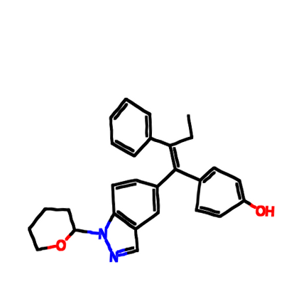 CCC(=C(c1ccc(O)cc1)c1ccc2c(cnn2C2CCCCO2)c1)c1ccccc1